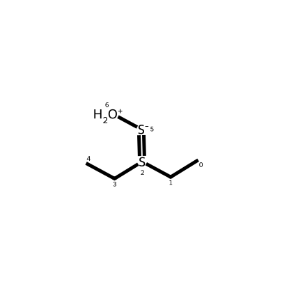 CCS(CC)=[S-][OH2+]